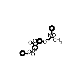 Cc1oc(-c2ccccc2)nc1CCOc1cccc(C2=C(C(=O)Cl)CN(C(=O)OCc3ccccc3)CC2)c1